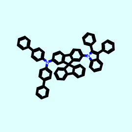 c1ccc(-c2ccc(N(c3ccc(-c4ccccc4)cc3)c3ccc4c(c3)C3(c5ccccc5-c5ccccc53)c3cc(-n5c(-c6ccccc6)c(-c6ccccc6)c6ccccc65)ccc3-4)cc2)cc1